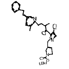 Cc1cc(CCc2ccccc2)cnc1CCC(C)C(=O)c1c(Cl)cnn1CC1CCN(C(=O)OC(C)(C)C)C1